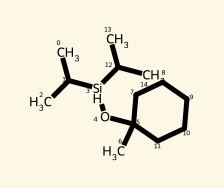 CC(C)[SiH](OC1(C)CCCCC1)C(C)C